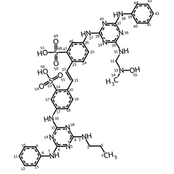 CCCNc1nc(Nc2ccccc2)nc(Nc2ccc(/C=C/c3ccc(Nc4nc(NCN(C)O)nc(Nc5ccccc5)n4)cc3S(=O)(=O)O)c(S(=O)(=O)O)c2)n1